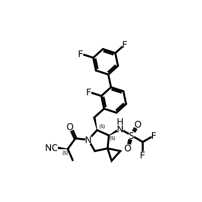 C[C@@H](C#N)C(=O)N1CC2(CC2)[C@H](NS(=O)(=O)C(F)F)[C@@H]1Cc1cccc(-c2cc(F)cc(F)c2)c1F